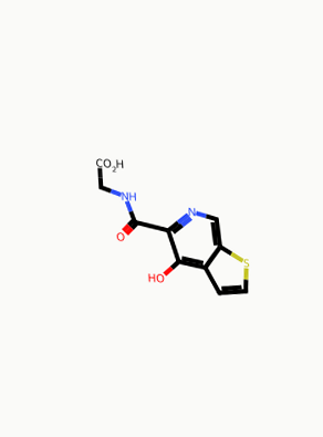 O=C(O)CNC(=O)c1ncc2sccc2c1O